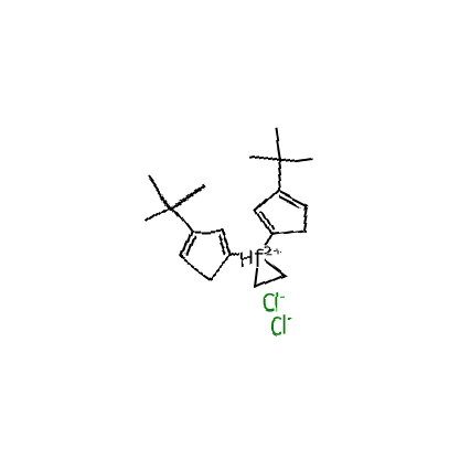 CC(C)(C)C1=CC[C]([Hf+2]2([C]3=CC(C(C)(C)C)=CC3)[CH2][CH2]2)=C1.[Cl-].[Cl-]